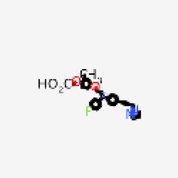 Cc1cc(OC/C=C(\c2ccc(F)cc2)c2ccc(C#CCn3cccn3)cc2)ccc1OCC(=O)O